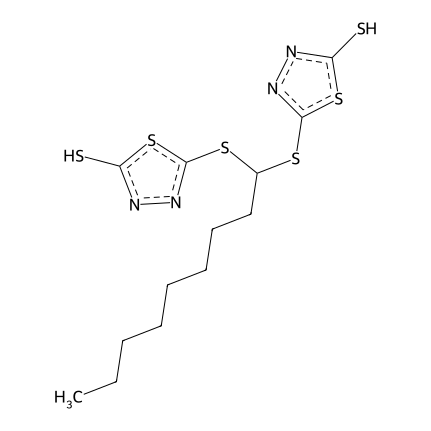 CCCCCCCCC(Sc1nnc(S)s1)Sc1nnc(S)s1